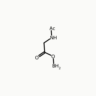 BOC(=O)CNC(C)=O